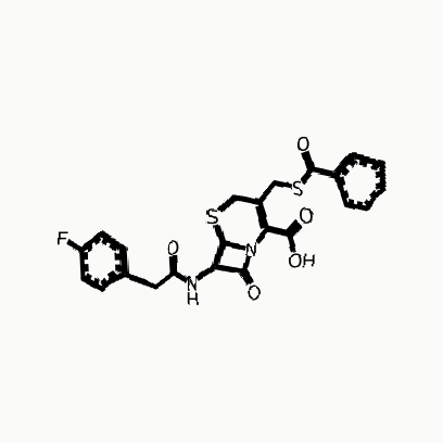 O=C(Cc1ccc(F)cc1)NC1C(=O)N2C(C(=O)O)=C(CSC(=O)c3ccccc3)CSC12